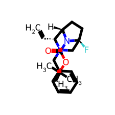 C=C[C@@H]1[C@@H]2CC[C@](F)(CN1Cc1ccccc1)N2C(=O)OC(C)(C)C